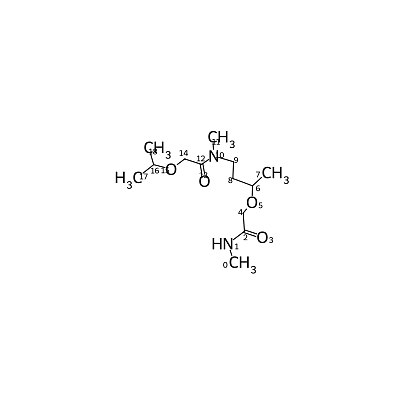 CNC(=O)COC(C)CCN(C)C(=O)COC(C)C